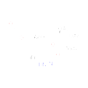 CC(=O)OC[C@H]1O[C@@H](Oc2n[nH]c(C(C)C)c2Cc2ccc(OC[C@@H]3CO3)cc2)[C@H](OC(C)=O)[C@@H](OC(C)=O)[C@@H]1OC(C)=O